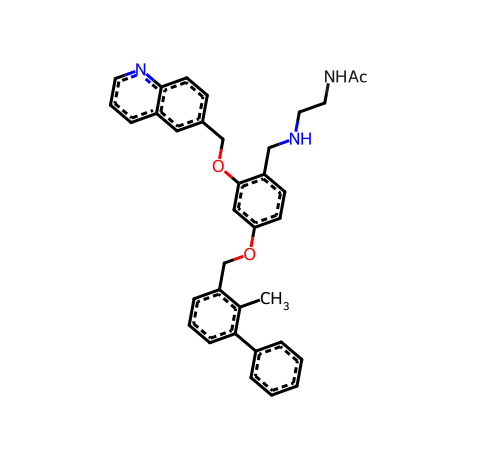 CC(=O)NCCNCc1ccc(OCc2cccc(-c3ccccc3)c2C)cc1OCc1ccc2ncccc2c1